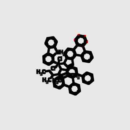 CCC(C)C1=Cc2c(ccc(-c3ccccc3)c2-c2ccccc2-c2ccccc2)[CH]1[Zr]([Cl])([Cl])([c]1cccc2c1[SiH2]c1ccccc1-2)[CH]1C(C(C)CC)=Cc2c1ccc(-c1ccccc1)c2-c1ccccc1-c1ccccc1